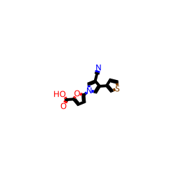 N#Cc1cn(-c2ccc(C(=O)O)o2)cc1-c1ccsc1